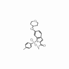 COC(=O)c1cc2ccc(OC3CCOCC3)cc2n1S(=O)(=O)c1ccc(C)cc1